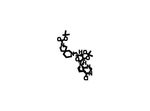 CC(C)(C)OC(=O)N1CCC2(CCCN(C[C@H]3O[C@@H](n4ccc5c(Cl)ncnc54)[C@@H]4OC(C)(C)O[C@@H]43)C2)C1